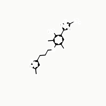 Cc1cc(CCCOc2c(C)cc(-c3noc(C(F)(F)F)n3)c(O)c2C)on1